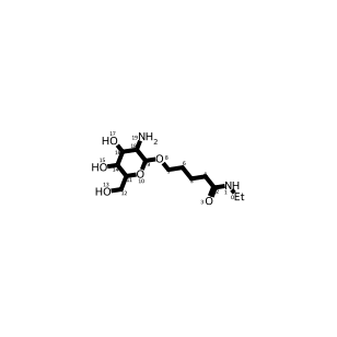 CCNC(=O)CCCCOC1OC(CO)C(O)C(O)C1N